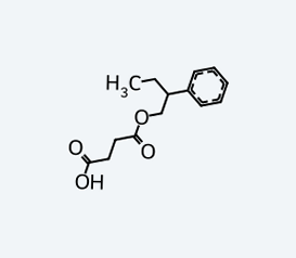 CCC(COC(=O)CCC(=O)O)c1ccccc1